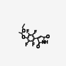 CCOC(C)Oc1c(F)c(F)c(C2=CC(=O)NC2=O)c(F)c1F